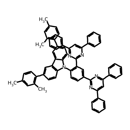 Cc1ccc(-c2ccc3c(c2)c2cc(-c4ccc(C)cc4C)ccc2n3-c2ccc(-c3nc(-c4ccccc4)cc(-c4ccccc4)n3)cc2-c2nc(-c3ccccc3)cc(-c3ccccc3)n2)c(C)c1